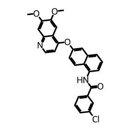 COc1cc2nccc(Oc3ccc4c(NC(=O)c5cccc(Cl)c5)cccc4c3)c2cc1OC